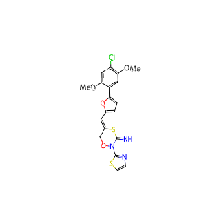 COc1cc(-c2ccc(/C=C3/CON(c4nccs4)C(=N)S3)o2)c(OC)cc1Cl